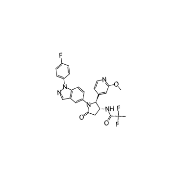 COc1cc([C@H]2[C@H](NC(=O)C(C)(F)F)CC(=O)N2c2ccc3c(cnn3-c3ccc(F)cc3)c2)ccn1